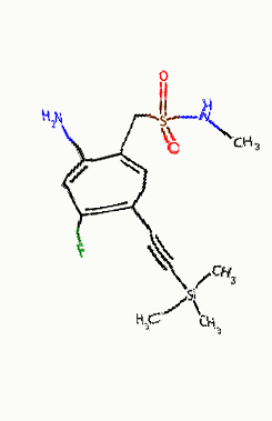 CNS(=O)(=O)Cc1cc(C#C[Si](C)(C)C)c(F)cc1N